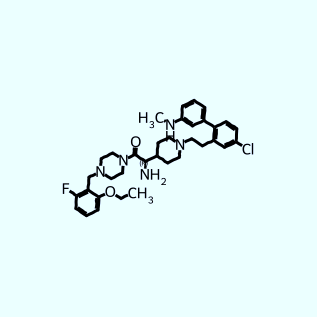 CCOc1cccc(F)c1CN1CCN(C(=O)[C@H](N)C2CCN(CCc3cc(Cl)ccc3-c3cccc(NC)c3)CC2)CC1